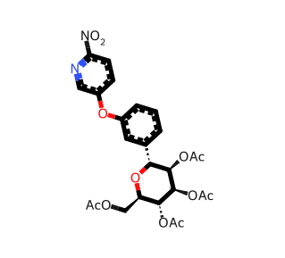 CC(=O)OC[C@H]1O[C@H](c2cccc(Oc3ccc([N+](=O)[O-])nc3)c2)[C@@H](OC(C)=O)[C@@H](OC(C)=O)[C@@H]1OC(C)=O